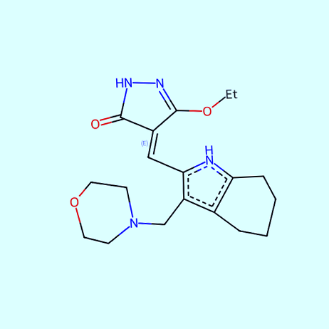 CCOC1=NNC(=O)/C1=C/c1[nH]c2c(c1CN1CCOCC1)CCCC2